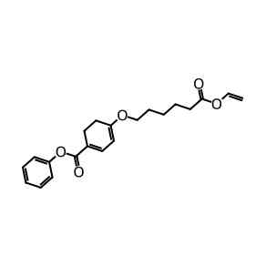 C=COC(=O)CCCCCOC1=CC=C(C(=O)Oc2ccccc2)CC1